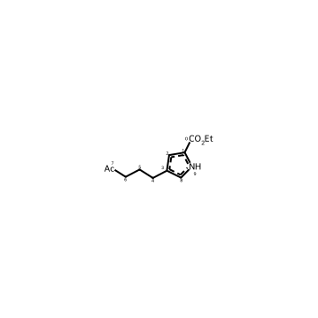 CCOC(=O)c1cc(CCCC(C)=O)c[nH]1